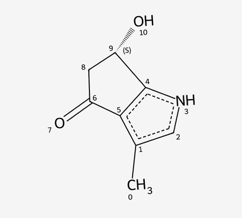 Cc1c[nH]c2c1C(=O)C[C@@H]2O